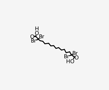 O=C(O)C(Br)(Br)CCCCCCCCCCCCC(Br)(Br)C(=O)O